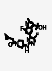 Cc1cc(C(C)(C)O)c2cc(-c3nc(NC4CCN(C(=O)CC5CC5)CC4)ncc3F)cc(F)c2n1